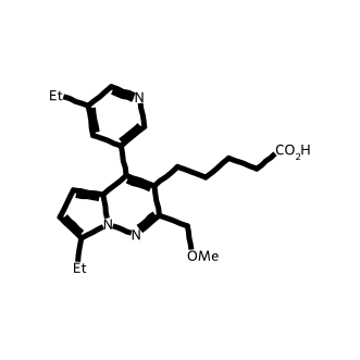 CCc1cncc(-c2c(CCCCC(=O)O)c(COC)nn3c(CC)ccc23)c1